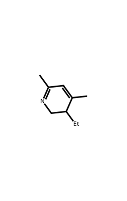 CCC1CN=C(C)C=C1C